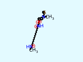 CCCNC(=O)CCCCCCCCCCCCCCCCC(=O)NCCC(=O)Oc1cccc2c1CC[C@@H](N(CCC)CCc1cccs1)C2